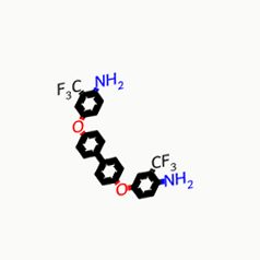 Nc1ccc(Oc2ccc(-c3ccc(Oc4ccc(N)c(C(F)(F)F)c4)cc3)cc2)cc1C(F)(F)F